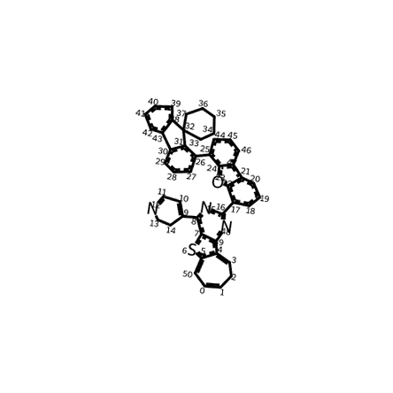 C1=CCC=c2c(sc3c(C4=CC=NCC4)nc(-c4cccc5c4oc4c(-c6cccc7c6C6(CCCCC6)c6ccccc6-7)cccc45)nc23)=C1